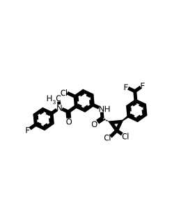 CN(C(=O)c1cc(NC(=O)[C@@H]2[C@@H](c3cccc(C(F)F)c3)C2(Cl)Cl)ccc1Cl)c1ccc(F)cc1